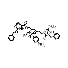 COC(=O)NC(Cc1ccccc1)C(=O)NCCCCC(COC(=O)[C@@H](NC(=O)OCc1ccccc1)C(C)C)N(CC(C)C)S(=O)(=O)c1ccc(N)cc1